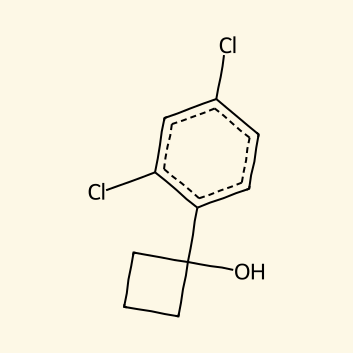 OC1(c2ccc(Cl)cc2Cl)CCC1